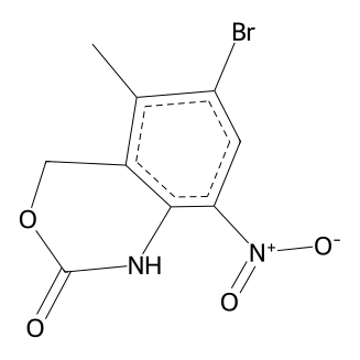 Cc1c(Br)cc([N+](=O)[O-])c2c1COC(=O)N2